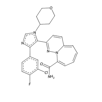 NC(=O)C1=CC=CC=C2C=CC(c3c(-c4ccc(F)c(Cl)c4)ncn3C3CCOCC3)=NN21